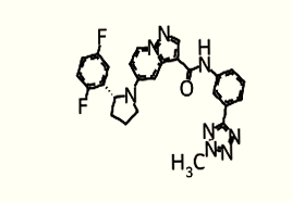 Cn1nnc(-c2cccc(NC(=O)c3cnn4ccc(N5CCC[C@@H]5c5cc(F)ccc5F)cc34)c2)n1